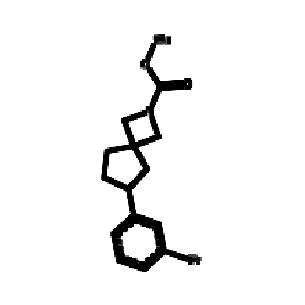 CC(C)c1cccc(C2CCC3(C2)CN(C(=O)OC(C)(C)C)C3)c1